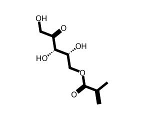 C=C(C)C(=O)OC[C@@H](O)[C@H](O)C(=O)CO